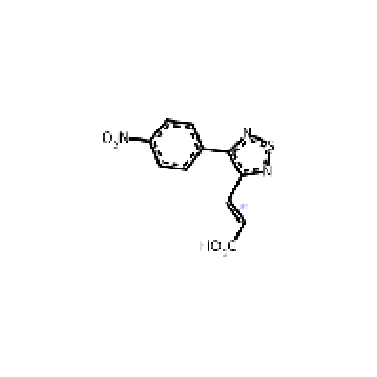 O=C(O)/C=C/c1nsnc1-c1ccc([N+](=O)[O-])cc1